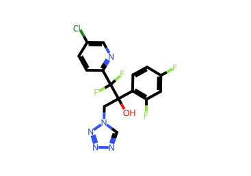 OC(Cn1cnnn1)(c1ccc(F)cc1F)C(F)(F)c1ccc(Cl)cn1